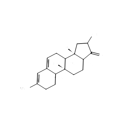 COC1=CC2=CC[C@H]3[C@@H]4CC(C)C(=O)[C@@]4(C)CC[C@]3(O)[C@@]2(C)CC1